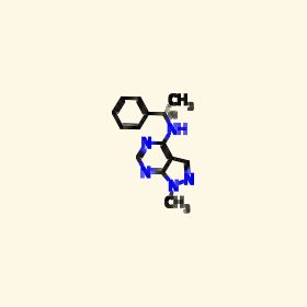 C[C@H](Nc1ncnc2c1cnn2C)c1ccccc1